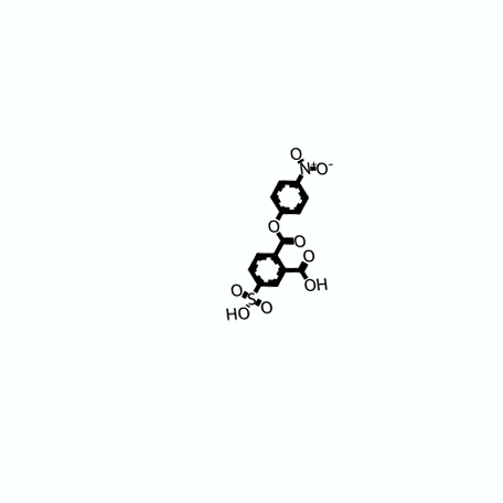 O=C(O)c1cc(S(=O)(=O)O)ccc1C(=O)Oc1ccc([N+](=O)[O-])cc1